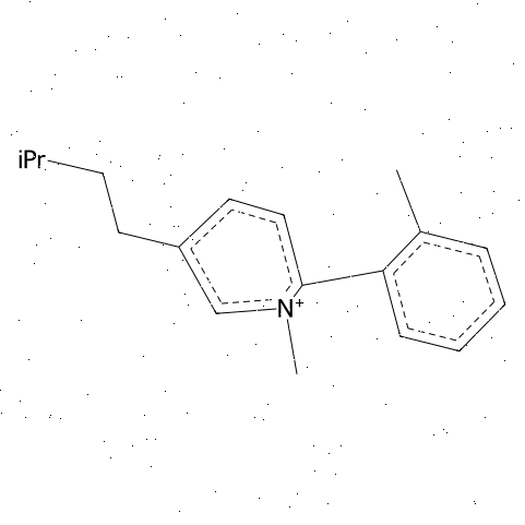 Cc1ccccc1-c1ccc(CCC(C)C)c[n+]1C